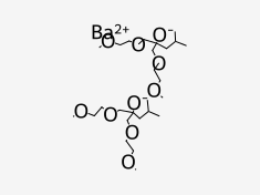 COCCOCC([O-])(COCCOC)CC(C)C.COCCOCC([O-])(COCCOC)CC(C)C.[Ba+2]